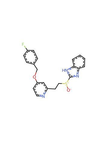 [O-][S+](CCc1cc(OCc2ccc(F)cc2)ccn1)c1nc2ccccc2[nH]1